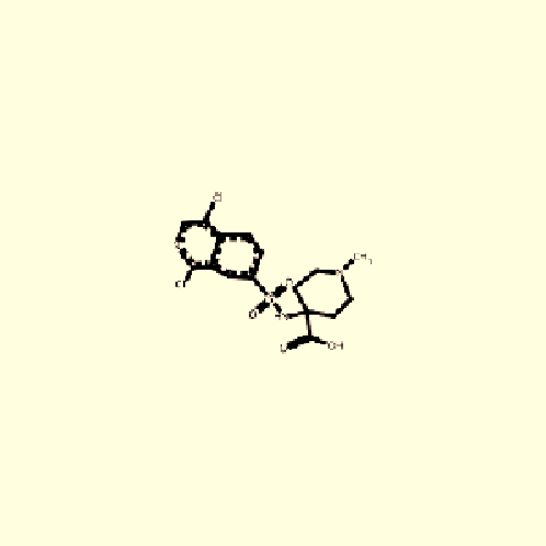 CN1CCC(NS(=O)(=O)c2ccc3c(Cl)cnc(Cl)c3c2)(C(=O)O)CC1